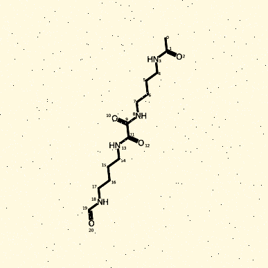 CC(=O)NCCCCNC(=O)C(=O)NCCCCNC=O